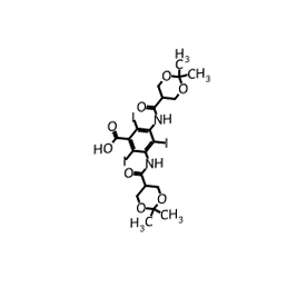 CC1(C)OCC(C(=O)Nc2c(I)c(NC(=O)C3COC(C)(C)OC3)c(I)c(C(=O)O)c2I)CO1